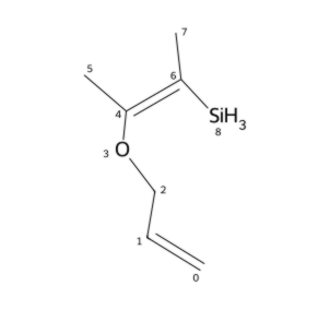 C=CCOC(C)=C(C)[SiH3]